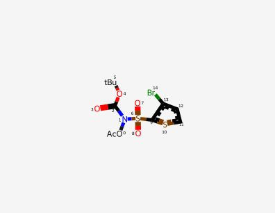 CC(=O)ON(C(=O)OC(C)(C)C)S(=O)(=O)c1sccc1Br